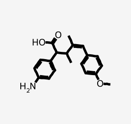 COc1ccc(C=C(C)C(C)C(C(=O)O)c2ccc(N)cc2)cc1